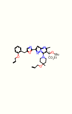 C=CCOc1ccccc1Cc1cnc(-c2cc3nc(C)c([C@H](OC(C)(C)C)C(=O)OCC)c(N4CCC(C)(OCC=C)CC4)n3n2)o1